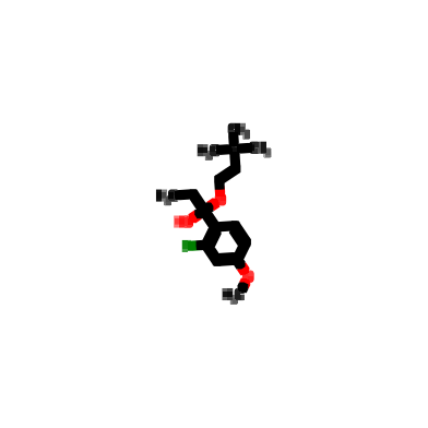 CCC(O)(OCC[Si](C)(C)C)c1ccc(OC)cc1F